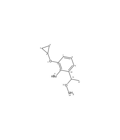 CCCCc1c(OC2CC2)cccc1C(C)O[SiH3]